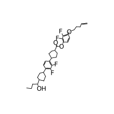 C=CCCCOc1ccc(OC(=O)C2CCC(c3ccc(C4CCC(C(O)CCC)CC4)c(F)c3F)CC2)c(F)c1F